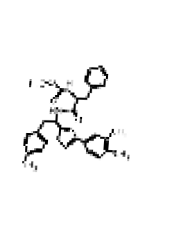 COC(=O)NC(Cc1ccccc1)C(=O)NC(Cc1ccc(N)cc1)c1nc(-c2ccc(C)c(C)c2)cs1